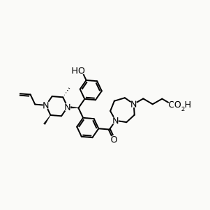 C=CCN1C[C@H](C)N([C@@H](c2cccc(O)c2)c2cccc(C(=O)N3CCCN(CCCC(=O)O)CC3)c2)C[C@H]1C